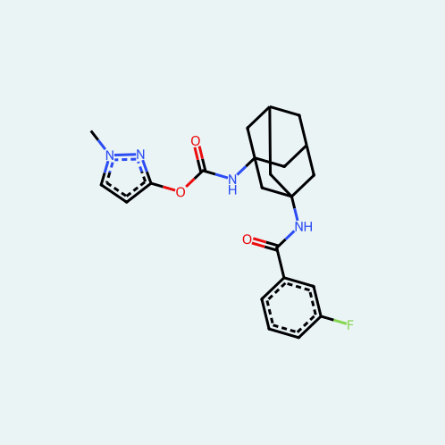 Cn1ccc(OC(=O)NC23CC4CC(C2)CC(NC(=O)c2cccc(F)c2)(C4)C3)n1